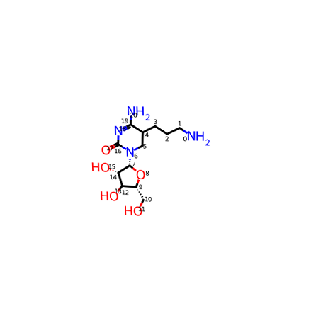 NCCCC1CN([C@@H]2O[C@H](CO)C(O)[C@@H]2O)C(=O)N=C1N